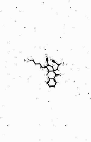 CCCCCCC1Oc2ccccc2C(=O)C1(CC(C)C#N)CC(C)C#N